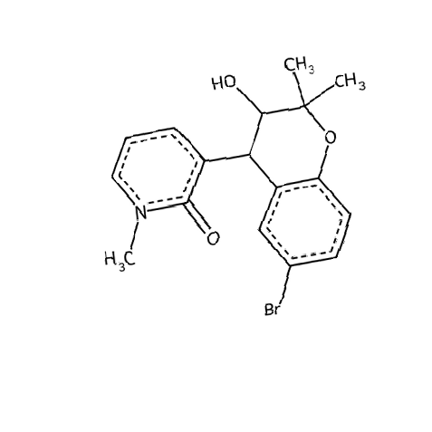 Cn1cccc(C2c3cc(Br)ccc3OC(C)(C)C2O)c1=O